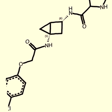 O=C(COc1ccc(Cl)cc1)N[C@]12CC1[C@H](NC(=O)C1CCCN1)C2